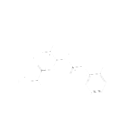 Cc1ccccc1OC(=O)OC(OC(=O)C(C)C)C(C)C